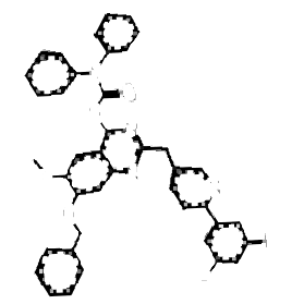 COc1cc2c(OC(=O)N(c3ccccc3)c3ccccc3)nc(Cc3ccc(-c4cc(F)cc(F)c4)nc3)nc2cc1OCc1ccccc1